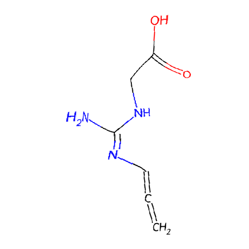 C=C=CN=C(N)NCC(=O)O